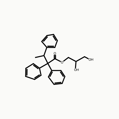 CC(c1ccccc1)C(C(=O)OCC(O)CO)(c1ccccc1)c1ccccc1